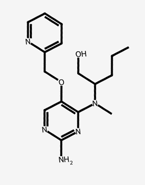 CCCC(CO)N(C)c1nc(N)ncc1OCc1ccccn1